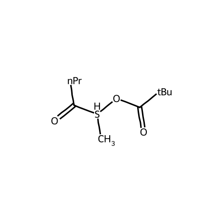 CCCC(=O)[SH](C)OC(=O)C(C)(C)C